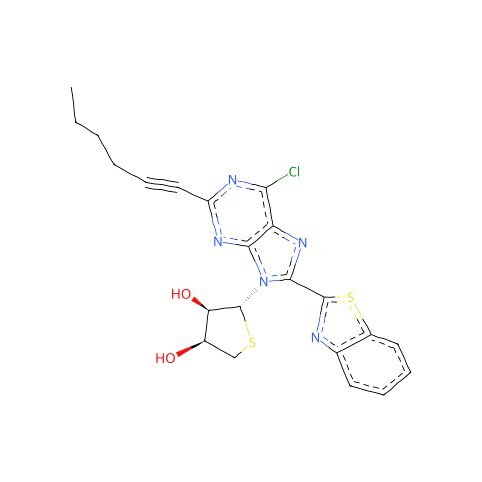 CCCCC#Cc1nc(Cl)c2nc(-c3nc4ccccc4s3)n([C@@H]3SC[C@@H](O)[C@H]3O)c2n1